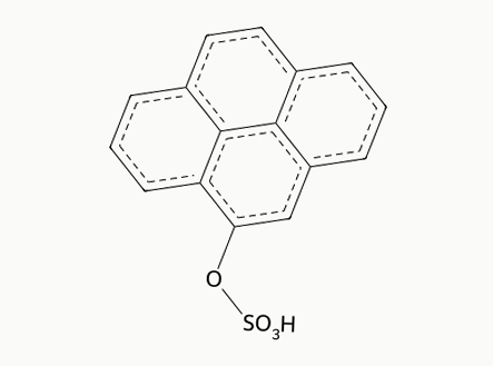 O=S(=O)(O)Oc1cc2cccc3ccc4cccc1c4c32